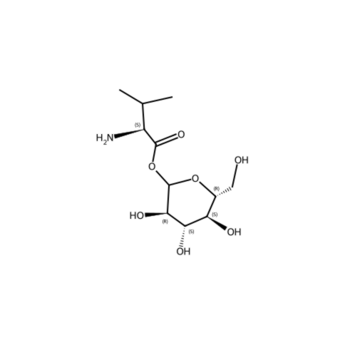 CC(C)[C@H](N)C(=O)OC1O[C@H](CO)[C@@H](O)[C@H](O)[C@H]1O